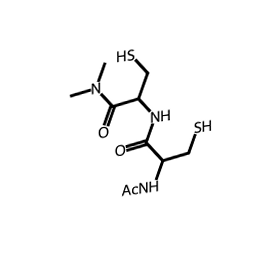 CC(=O)NC(CS)C(=O)NC(CS)C(=O)N(C)C